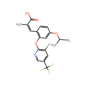 CC(=Cc1ccc(OC(C)C)cc1Oc1ncc(C(F)(F)F)cc1Cl)C(=O)O